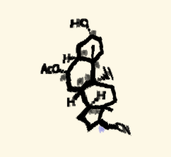 CC(=O)O[C@H]1C[C@@H]2[C@H](CC[C@]3(C)/C(=C\C#N)CC[C@@H]23)[C@@]2(C)CC[C@@H](O)C[C@H]12